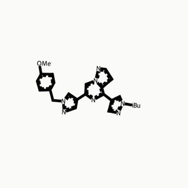 CCC(C)n1cc(-c2nc(-c3cnn(Cc4ccc(OC)cc4)c3)cn3nccc23)cn1